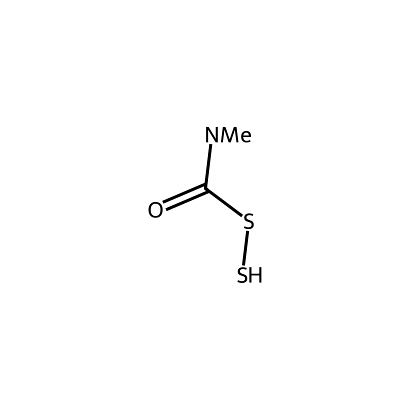 CNC(=O)SS